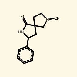 N#CN1CCC2(CC(c3ccccc3)NC2=O)C1